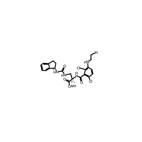 COC(=O)[C@@](C)(CNC(=O)N[C@@H]1CCc2ccccc21)NC(=O)c1c(Cl)ccc(NCCC(C)C)c1Cl